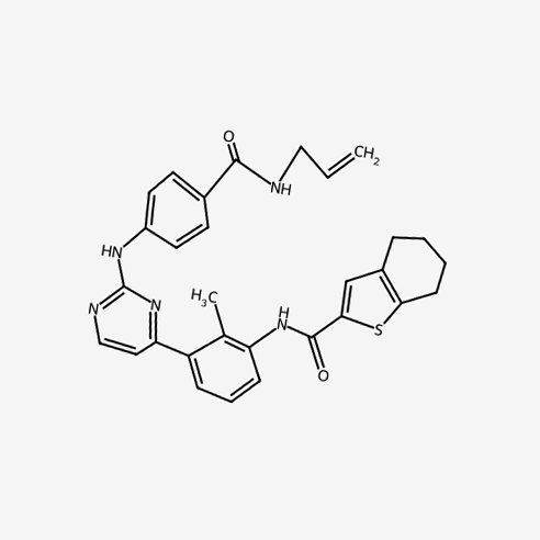 C=CCNC(=O)c1ccc(Nc2nccc(-c3cccc(NC(=O)c4cc5c(s4)CCCC5)c3C)n2)cc1